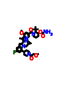 COCC(=O)N1CCC(c2cc(F)cc3cc(-c4nn5cc(C(=O)N6CCCC(OC(N)=O)C6C(C)(C)C)cc(OC)c5c4C)n(CC4CC4)c23)CC1